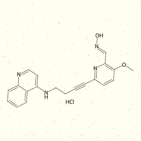 COc1ccc(C#CCCNc2ccnc3ccccc23)nc1C=NO.Cl